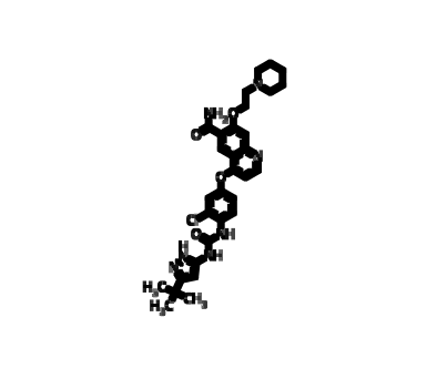 CC(C)(C)c1cc(NC(=O)Nc2ccc(Oc3ccnc4cc(OCCN5CCCCC5)c(C(N)=O)cc34)cc2Cl)[nH]n1